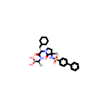 CC[C@H](NC(=O)[C@H](CC1CCCCC1)N1CCC(NS(=O)(=O)c2ccc(-c3ccccc3)cc2)(C(C)C)C1=O)B(O)O